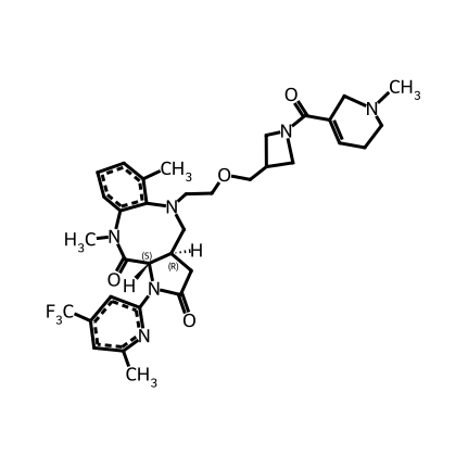 Cc1cc(C(F)(F)F)cc(N2C(=O)C[C@@H]3CN(CCOCC4CN(C(=O)C5=CCCN(C)C5)C4)c4c(C)cccc4N(C)C(=O)[C@H]32)n1